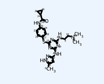 Cc1cc(Nc2nc(NCCN(C)C)nc(Sc3ccc(NC(=O)C4CC4)cc3)n2)n[nH]1